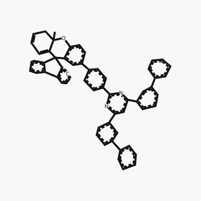 CC12CC=CC=C1C1(c3cc(-c4ccc(-c5nc(-c6cccc(-c7ccccc7)c6)cc(-c6cccc(-c7ccccc7)c6)n5)cc4)ccc3O2)c2ccccc2-c2ccccc21